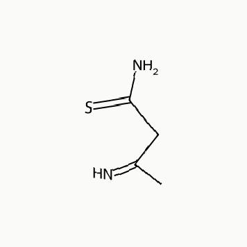 CC(=N)CC(N)=S